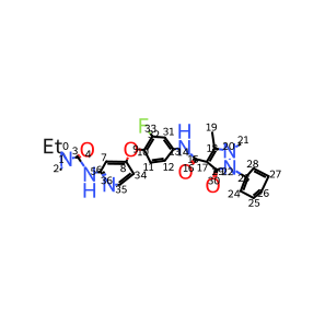 CCN(C)C(=O)Nc1cc(Oc2ccc(NC(=O)c3c(C)n(C)n(-c4ccccc4)c3=O)cc2F)ccn1